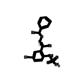 CC/C(=N\OC(CC)c1ccccc1)c1cc(Cl)ccc1NS(=O)(=O)C(F)(F)F